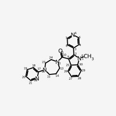 Cn1c(-c2ccncc2)c(C(=O)N2CCCN(c3ccccn3)CC2)c2ccccc21